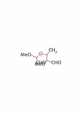 COC(C=O)OC(C)C(C=O)OC